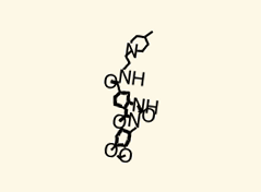 CC1CCN(CCCNC(=O)c2ccc3c(=O)n(Cc4ccc5c(c4)OCO5)c(=O)[nH]c3c2)CC1